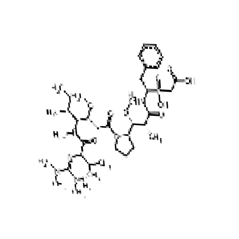 CC[C@H](C)[C@@H]([C@@H](CC(=O)N1CCCC1[C@H](OC)[C@@H](C)C(=O)N[C@@H](Cc1ccccc1)P(=O)(O)CC(=O)O)OC)N(C)C(=O)C(N=C(N(C)C)N(C)C)C(C)C